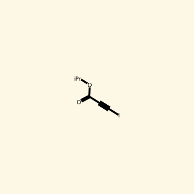 CC(C)OC(=O)C#CI